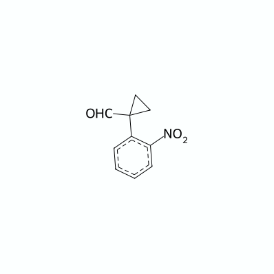 O=CC1(c2ccccc2[N+](=O)[O-])CC1